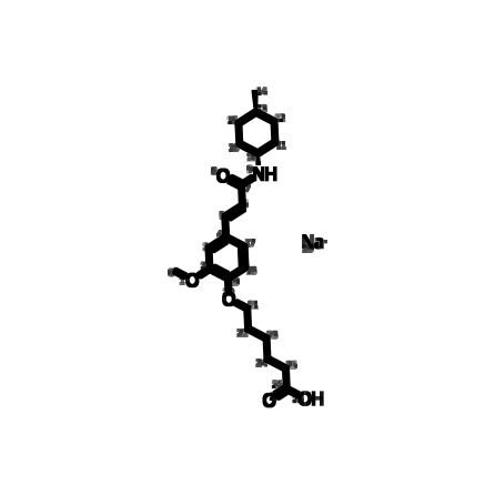 COc1cc(C=CC(=O)N[C@H]2CC[C@H](C)CC2)ccc1OCCCCCC(=O)O.[Na]